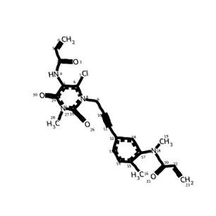 C=CC(=O)Nc1c(Cl)n(CC#Cc2ccc(C)c(N(C)C(=O)C=C)c2)c(=O)n(C)c1=O